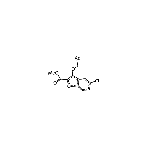 COC(=O)c1oc2ccc(Cl)cc2c1OCC(C)=O